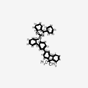 CC1(C)c2ccccc2-c2cc(-c3ccc4c(c3)c3ccccc3n4-c3nc(-c4ccccc4)c4ccccc4n3)ccc21